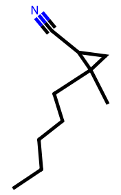 CCCCCC1(C)CC1C#N